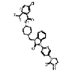 O=C(N[C@H]1CC[C@H](Cn2c(=O)n(-c3ccc(N4CCNC4=O)cn3)c3ccccc32)CC1)c1cc(Cl)cnc1C(F)F